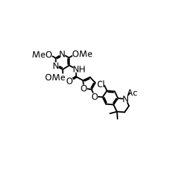 COc1nc(OC)c(NC(=O)c2ccc(Oc3cc4c(cc3Cl)N(C(C)=O)CCC4(C)C)o2)c(OC)n1